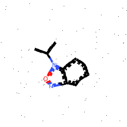 CC(C)[n+]1onc2ccccc21